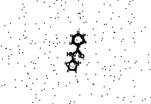 O=C(NC1=NCCO1)c1ccccc1